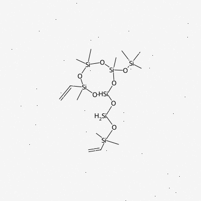 C=C[Si](C)(C)O[SiH2]O[SiH]1O[Si](C)(C=C)O[Si](C)(C)O[Si](C)(O[Si](C)(C)C)O1